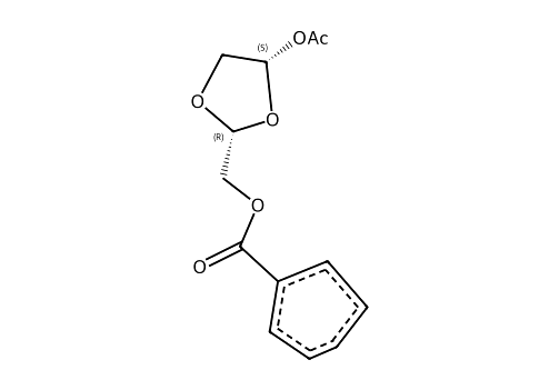 CC(=O)O[C@H]1CO[C@@H](COC(=O)c2ccccc2)O1